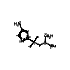 CC(C)(C)N(CC(C)(C)n1cc(N)cn1)C(=O)O